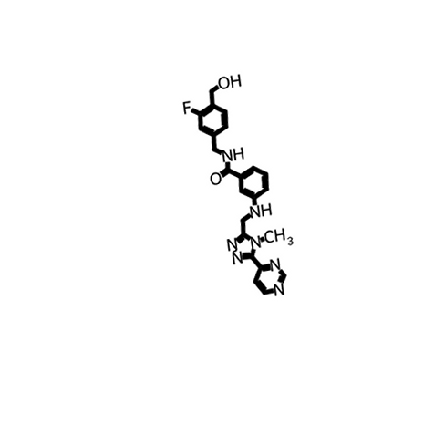 Cn1c(CNc2cccc(C(=O)NCc3ccc(CO)c(F)c3)c2)nnc1-c1ccncn1